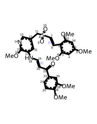 COc1cc(OC)c(/C=C/S(=O)(=O)Cc2cnc(OC)c(N/C=C/C(=O)c3ccc(OC)c(OC)c3)c2)c(OC)c1